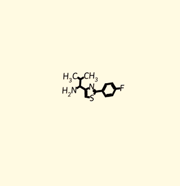 CC(C)C(N)c1csc(-c2ccc(F)cc2)n1